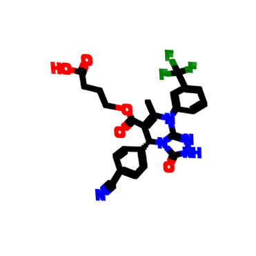 CC1=C(C(=O)OCCCC(=O)O)[C@@H](c2ccc(C#N)cc2)n2c(n[nH]c2=O)N1c1cccc(C(F)(F)F)c1